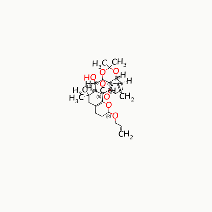 C=CCO[C@H]1CCC2=C(O1)[C@@]13COC4(OC(C)(C)O[C@@H]5[C@H]6CC[C@@H]1[C@]54C(=O)C6=C)[C@@H](O)[C@@H]3C(C)(C)C2